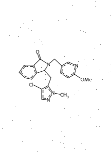 COc1ccc(CN2C(=O)c3ccccc3C2Cc2c(Cl)cnn2C)cn1